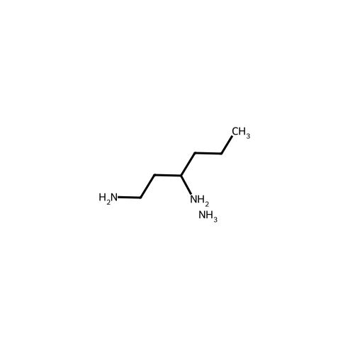 CCCC(N)CCN.N